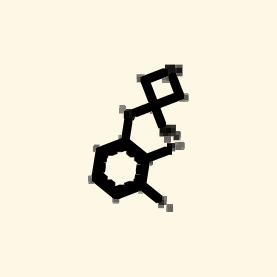 BC1(Oc2cccc(F)c2F)CNC1